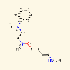 CCNCCCCON(CC)CCN(CC)c1ccccc1